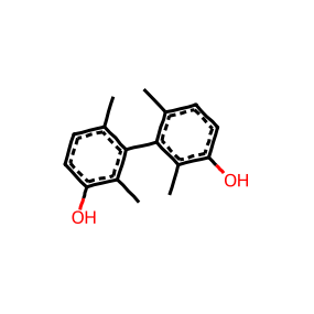 Cc1ccc(O)c(C)c1-c1c(C)ccc(O)c1C